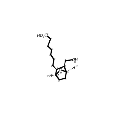 O=C(O)CCCCCC[C@H]1[C@@H](CO)[C@H]2CC[C@@H]1O2